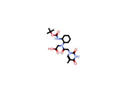 Cc1cn(CC(=O)N(CC(=O)O)C2CCCCC2NC(=O)OC(C)(C)C)c(=O)[nH]c1=O